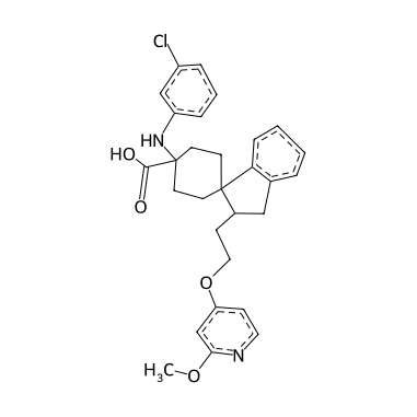 COc1cc(OCCC2Cc3ccccc3C23CCC(Nc2cccc(Cl)c2)(C(=O)O)CC3)ccn1